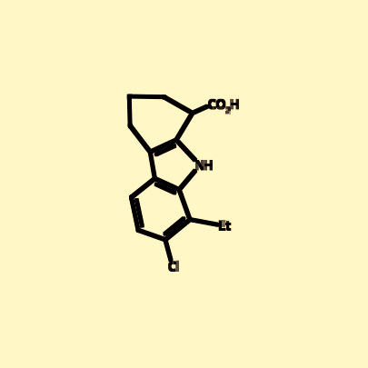 CCc1c(Cl)ccc2c3c([nH]c12)C(C(=O)O)CCC3